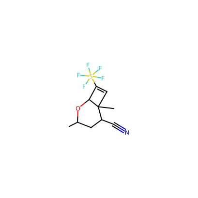 CC1CC(C#N)C2(C)C=C(S(F)(F)(F)(F)F)C2O1